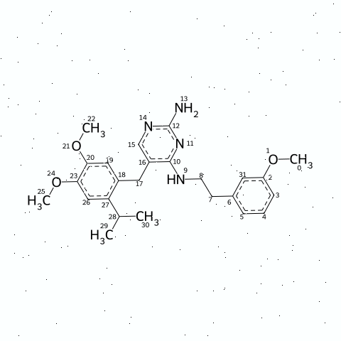 COc1cccc(CCNc2nc(N)ncc2Cc2cc(OC)c(OC)cc2C(C)C)c1